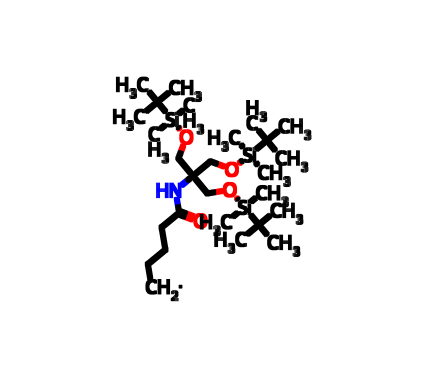 [CH2]CCCC(=O)NC(CO[Si](C)(C)C(C)(C)C)(CO[Si](C)(C)C(C)(C)C)CO[Si](C)(C)C(C)(C)C